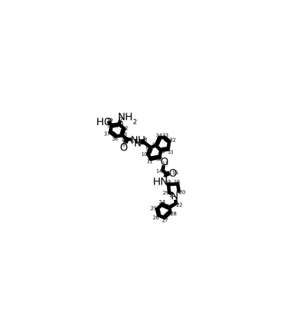 Nc1cc(C(=O)N/N=C/c2ccc(OCC(=O)NC3CCN(Cc4ccccc4)C3)c3ccccc23)ccc1O